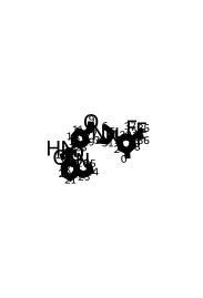 Cc1cc(N2CCN(C(=O)c3ccc(NS(=O)(=O)c4cccc5cccnc45)cc3)CC2)cc(C(F)(F)F)c1